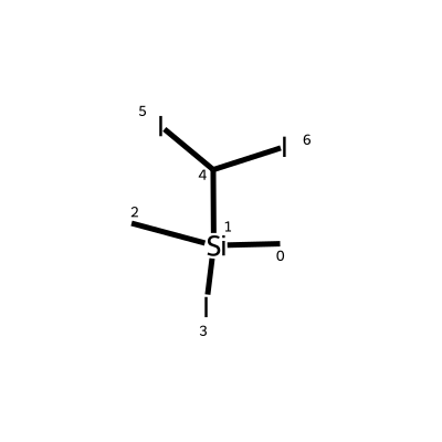 C[Si](C)(I)C(I)I